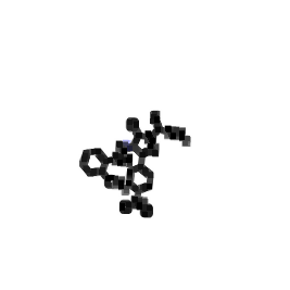 Cc1ccccc1N/N=C1/C(=O)N(C(N)=S)N=C1c1ccc([N+](=O)[O-])cc1